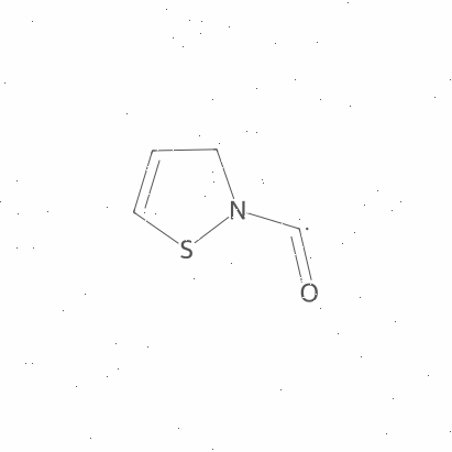 O=[C]N1CC=CS1